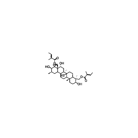 C/C=C(\C)C(=O)OC[C@@]12C(C[C@@H](C)[C@@H](O)[C@@H]1O)C1=CCC3[C@@]4(C)CC[C@H](O)[C@](C)(COC(=O)/C(C)=C/C)C4CC[C@@]3(S)[C@]1(C)C[C@H]2O